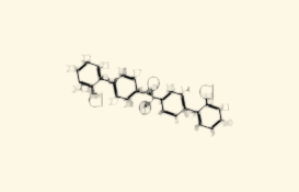 O=S(=O)(c1ccc(-c2ccccc2Cl)cc1)c1ccc(-c2ccccc2Cl)cc1